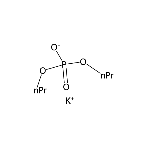 CCCOP(=O)([O-])OCCC.[K+]